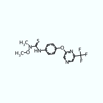 CON(C)C(=S)Nc1ccc(Oc2cncc(C(F)(F)F)n2)cc1